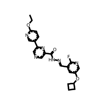 CCOc1ccc(-c2cncc(C(=O)N/N=C/c3cc(OC4CCC4)cnc3F)n2)cn1